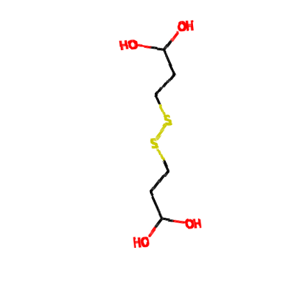 OC(O)CCSSCCC(O)O